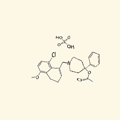 COc1ccc(Cl)c2c1CCC=C2CN1CCC(OC(C)=O)(c2ccccc2)CC1.O=S(=O)(O)O